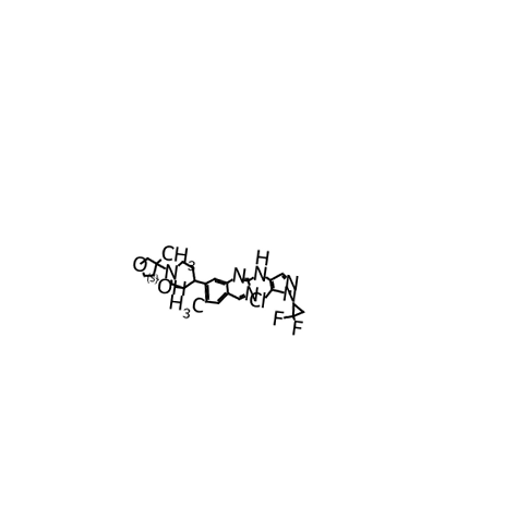 Cc1cc2cnc(Nc3cnn(C4CC4(F)F)c3Cl)nc2cc1C1CCN(C2(C)COC[C@H]2O)CC1